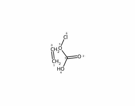 C=C.O=C(O)OCl